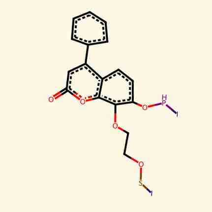 O=c1cc(-c2ccccc2)c2ccc(OPI)c(OCCOSI)c2o1